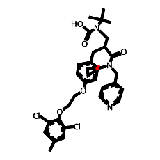 Cc1cc(Cl)c(OCCOc2ccc(CC(CN(C(=O)O)C(C)(C)C)C(=O)N(Cc3ccncc3)C3CC3)cc2)c(Cl)c1